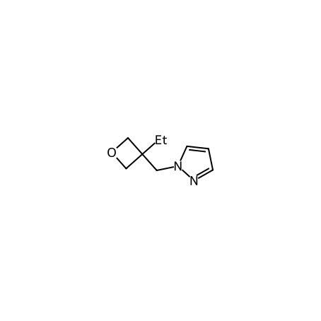 CCC1(Cn2cccn2)COC1